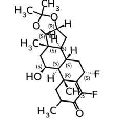 CC1C[C@@]2(C)C(=C(F)C1=O)[C@@H](F)C[C@@H]1[C@@H]2[C@@H](O)C[C@]2(C)[C@@H]3OC(C)(C)O[C@@H]3C[C@@H]12